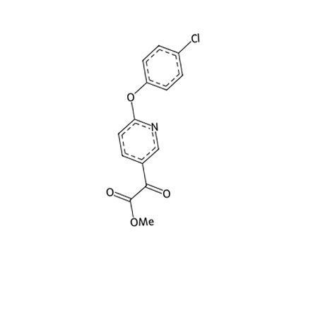 COC(=O)C(=O)c1ccc(Oc2ccc(Cl)cc2)nc1